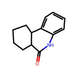 O=C1Nc2ccccc2C2CCCCC12